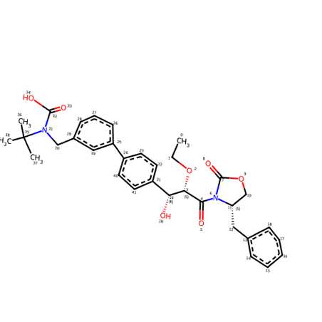 CCO[C@H](C(=O)N1C(=O)OC[C@@H]1Cc1ccccc1)[C@H](O)c1ccc(-c2cccc(CN(C(=O)O)C(C)(C)C)c2)cc1